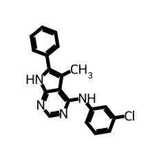 Cc1c(-c2ccccc2)[nH]c2ncnc(Nc3cccc(Cl)c3)c12